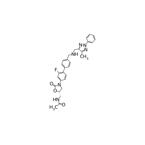 CC(=O)NC[C@H]1CN(c2ccc(-c3ccc(CNCc4nn(-c5ccccc5)nc4C)cc3)c(F)c2)C(=O)O1